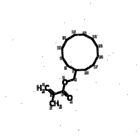 C=C(C)C(=O)OCC1CCCCCCCCCCC1